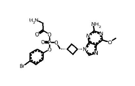 COc1nc(N)nc2c1ncn2[C@H]1C[C@@H](COP(=O)(OC(=O)CN)Oc2ccc(Br)cc2)C1